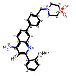 COc1ccccc1-c1nc2cc(-c3ccc(CN4CCS(=O)(=O)CC4)cc3)ccc2c(N)c1C#N